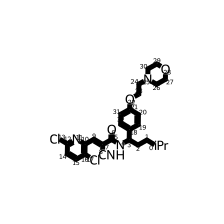 CC(C)CCC(NC(=O)/C(C#N)=C/c1nc(Cl)ccc1Cl)c1ccc(OCCN2CCOCC2)cc1